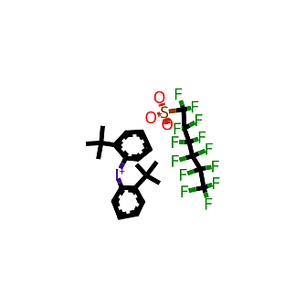 CC(C)(C)c1ccccc1[I+]c1ccccc1C(C)(C)C.O=S(=O)([O-])C(F)(F)C(F)(F)C(F)(F)C(F)(F)C(F)(F)C(F)(F)F